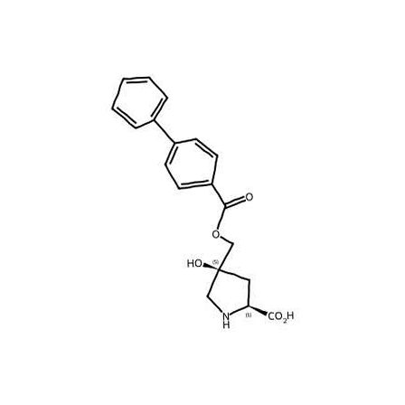 O=C(OC[C@@]1(O)CN[C@H](C(=O)O)C1)c1ccc(-c2ccccc2)cc1